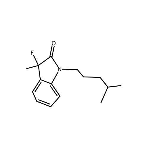 CC(C)CCCN1C(=O)C(C)(F)c2ccccc21